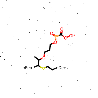 CCCCCCCCCCCCSC(CCCCC)C(C)OCCCO[PH](=O)C(=O)OO